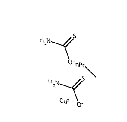 CCCC.NC([O-])=S.NC([O-])=S.[Cu+2]